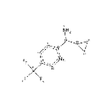 NC(c1ccc(C(F)(F)F)cn1)C1CC1